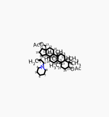 C=C(CN1CCCCC1)[C@@H]1CC[C@]2(COC(C)=O)CC[C@]3(C)[C@H](CCC4[C@@]5(C)CCC(OC(C)=O)C(C)(C)[C@@H]5CC[C@]43C)[C@@H]12